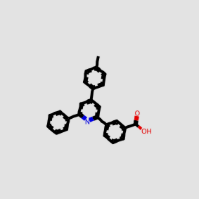 Cc1ccc(-c2cc(-c3ccccc3)nc(-c3cccc(C(=O)O)c3)c2)cc1